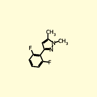 Cc1cc(-c2c(F)cccc2F)nn1C